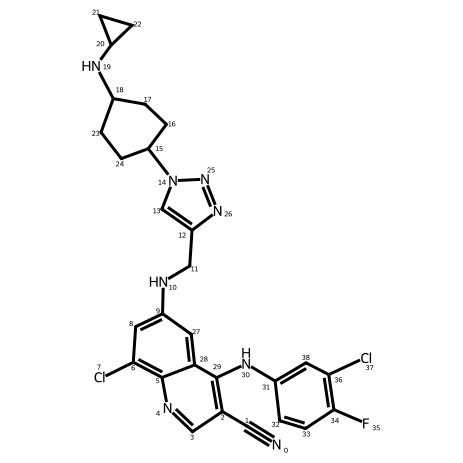 N#Cc1cnc2c(Cl)cc(NCc3cn(C4CCC(NC5CC5)CC4)nn3)cc2c1Nc1ccc(F)c(Cl)c1